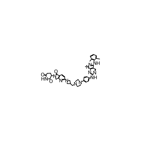 Cc1cccc(C)c1Nc1nn(C)c2nc(Nc3ccc(N4CCN(CC5CN(c6ccc7c(n6)CN(C6CCC(=O)NC6=O)C7=O)C5)CC4)cc3)ncc12